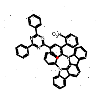 O=[N+]([O-])c1ccccc1-c1cc(-c2nc(-c3ccccc3)nc(-c3ccccc3)n2)ccc1-n1c2ccccc2c2ccc3c4ccccc4n(-c4ccccc4)c3c21